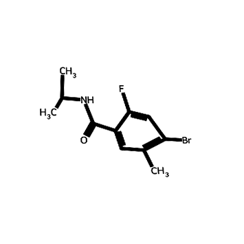 Cc1cc(C(=O)NC(C)C)c(F)cc1Br